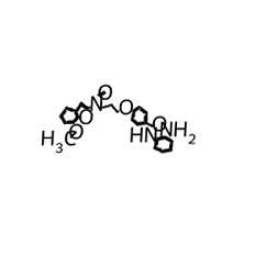 COc1cccc2cc(N(C=O)CCCOc3ccc(C(=O)Nc4ccccc4N)cc3)oc12